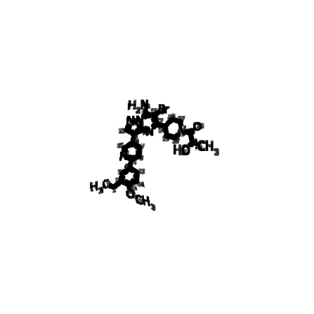 CCc1cc(-c2ccc(-c3cnn4c(N)c(Br)c(C5CCN(C(=O)[C@@H](C)O)CC5)nc34)cn2)ccc1OC